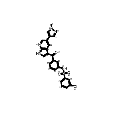 Cn1cc(-c2cnc3[nH]cc(C(=O)c4cccc(NS(=O)(=O)c5cccc(Cl)c5)c4)c3c2)cn1